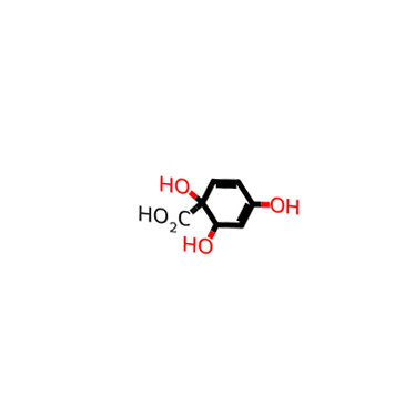 O=C(O)C1(O)C=CC(O)=CC1O